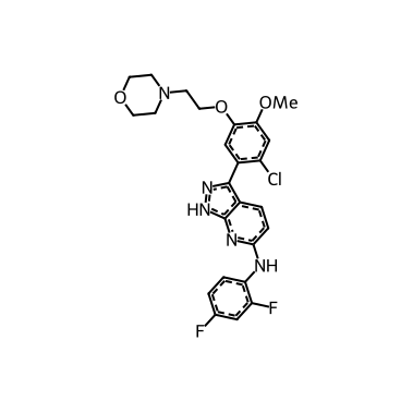 COc1cc(Cl)c(-c2n[nH]c3nc(Nc4ccc(F)cc4F)ccc23)cc1OCCN1CCOCC1